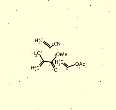 C=C(C)C(=O)OC.C=CC#N.C=COC(C)=O